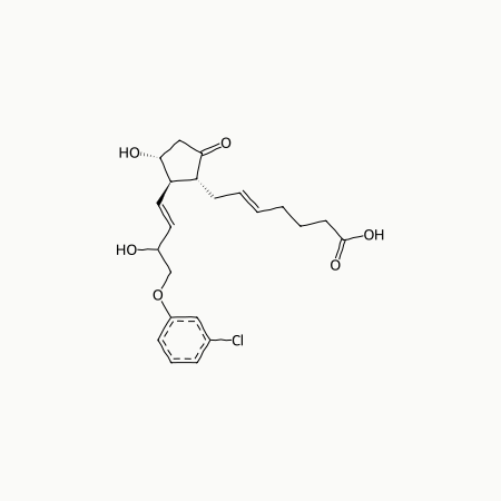 O=C(O)CCCC=CC[C@H]1C(=O)C[C@@H](O)[C@@H]1C=CC(O)COc1cccc(Cl)c1